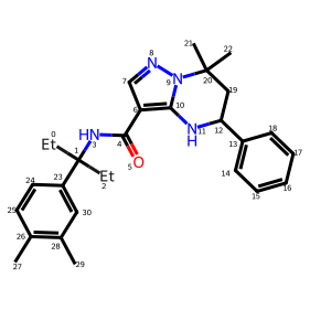 CCC(CC)(NC(=O)c1cnn2c1NC(c1ccccc1)CC2(C)C)c1ccc(C)c(C)c1